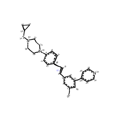 Fc1cc(/C=C/c2ccc(N3CCN(SC4CC4)CC3)cc2)cc(-c2ccncc2)c1